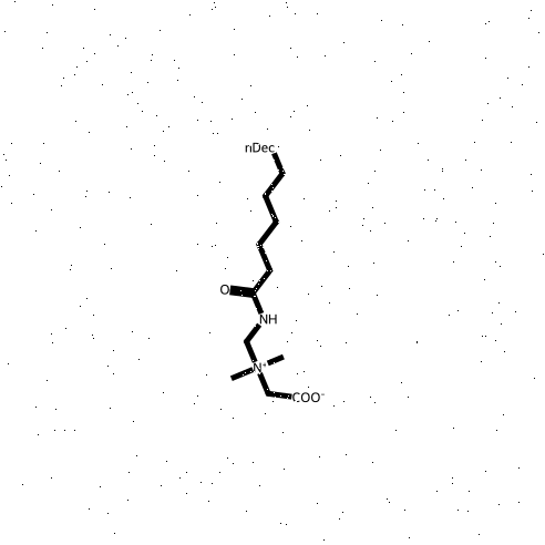 CCCCCCCCCCCCCCCC(=O)NC[N+](C)(C)CC(=O)[O-]